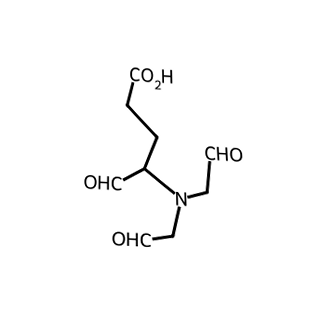 O=CCN(CC=O)C(C=O)CCC(=O)O